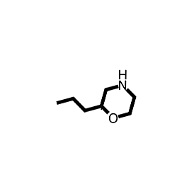 CCC[C]1CNCCO1